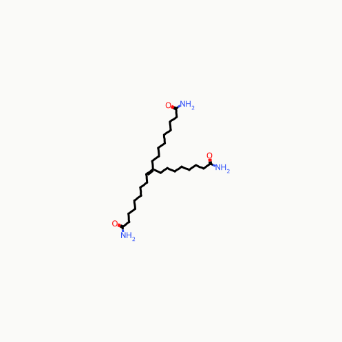 NC(=O)CCCCCCCC=C(CCCCCCCCC(N)=O)CCCCCCCC(N)=O